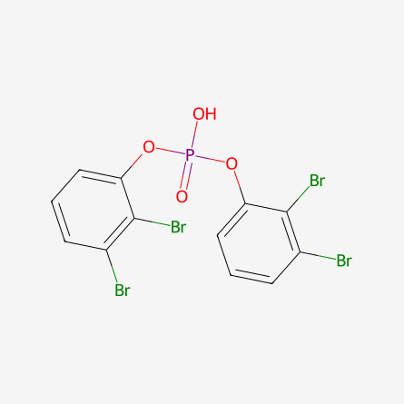 O=P(O)(Oc1cccc(Br)c1Br)Oc1cccc(Br)c1Br